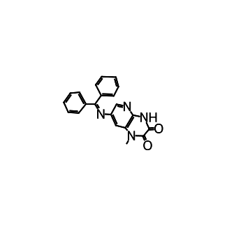 Cn1c(=O)c(=O)[nH]c2ncc(N=C(c3ccccc3)c3ccccc3)cc21